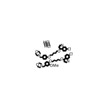 COc1cc(CN2CCOCC2)ccc1OCCCCCOc1ccnc2cc(Cl)ccc12.Cl.Cl.Cl.Cl.Clc1ccc2c(OCCCCCOc3ccc(CN4CCOCC4)cc3)ccnc2c1